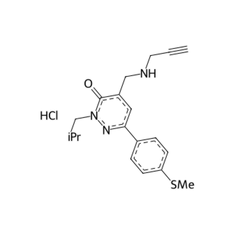 C#CCNCc1cc(-c2ccc(SC)cc2)nn(CC(C)C)c1=O.Cl